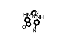 N#Cc1ccc(Nc2nccc(Nc3ccc4c(c3)CCC4=O)n2)cc1